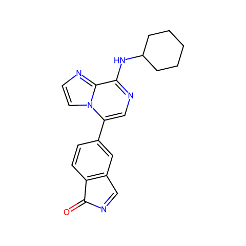 O=C1N=Cc2cc(-c3cnc(NC4CCCCC4)c4nccn34)ccc21